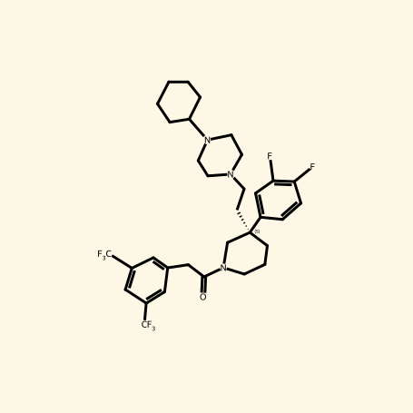 O=C(Cc1cc(C(F)(F)F)cc(C(F)(F)F)c1)N1CCC[C@](CCN2CCN(C3CCCCC3)CC2)(c2ccc(F)c(F)c2)C1